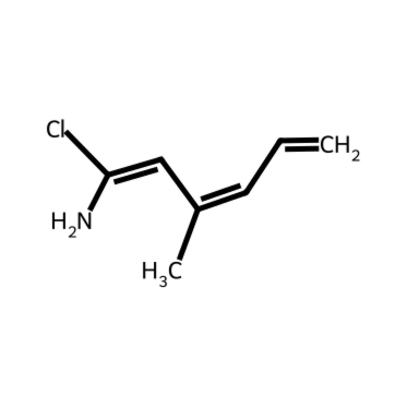 C=C/C=C(C)\C=C(/N)Cl